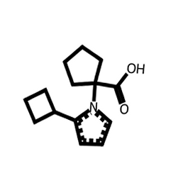 O=C(O)C1(n2cccc2C2CCC2)CCCC1